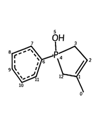 CC1=CC[P](O)(c2ccccc2)C1